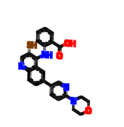 O=C(O)c1ccccc1Nc1c(S)cnc2ccc(-c3ccc(N4CCOCC4)nc3)cc12